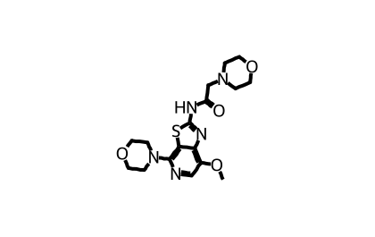 COc1cnc(N2CCOCC2)c2sc(NC(=O)CN3CCOCC3)nc12